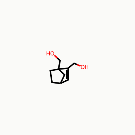 OCC1=CC2CCC1(CO)C2